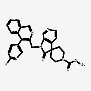 CC(C)(C)OC(=O)N1CCC2(CC1)C(=O)N(Cc1ncc3ccccc3c1-c1ccc(F)nc1)c1cnccc12